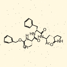 CC(=O)[C@H](C[C@@H]1CCNC1=O)NC(=O)[C@H](Cc1ccccc1)NC(=O)[C@H](CC(C)C)NC(=O)OCc1ccccc1